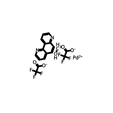 CO.O=C([O-])C(F)(F)F.O=C([O-])C(F)(F)F.[Pd+2].c1cnc2c(c1)ccc1ncccc12